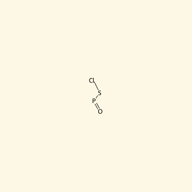 O=PSCl